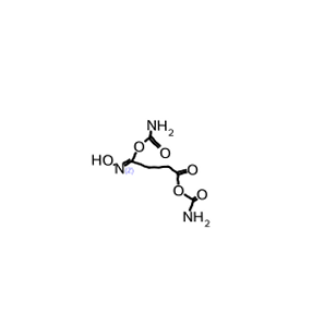 NC(=O)OC(=O)CC/C(=N/O)OC(N)=O